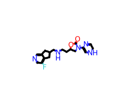 O=C1OC(CCNCC2Cc3cncc(F)c3C2)CN1C1=CNCC=N1